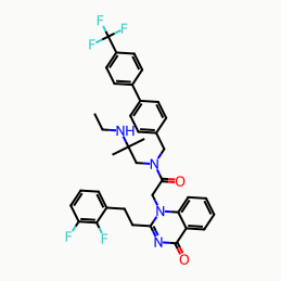 CCNC(C)(C)CN(Cc1ccc(-c2ccc(C(F)(F)F)cc2)cc1)C(=O)Cn1c(CCc2cccc(F)c2F)nc(=O)c2ccccc21